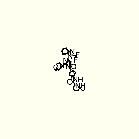 O=C1CCCC(C(=O)N[C@H]2CC[C@H](Oc3cc(-n4c(C(F)F)nc5ccccc54)nc(N4CCOCC4)n3)C2)N1